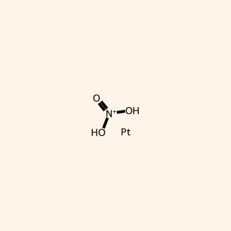 O=[N+](O)O.[Pt]